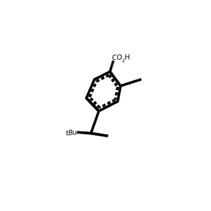 Cc1cc(C(C)C(C)(C)C)ccc1C(=O)O